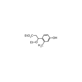 CCOC(=O)CC(OCC)c1ccc(O)cc1C